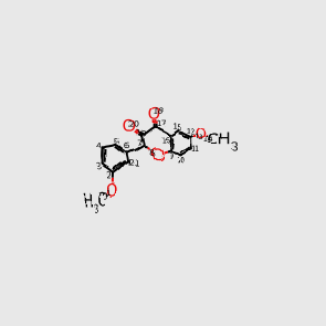 COc1cccc(C2Oc3ccc(OC)cc3C(=O)C2=O)c1